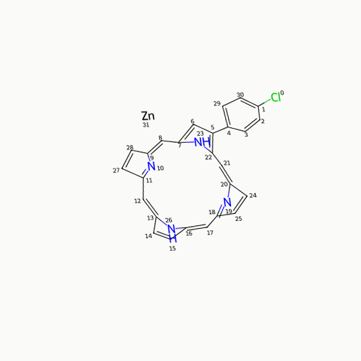 Clc1ccc(-c2cc3cc4nc(cc5ccc(cc6nc(cc2[nH]3)C=C6)[nH]5)C=C4)cc1.[Zn]